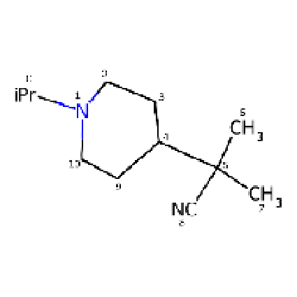 CC(C)N1CCC(C(C)(C)C#N)CC1